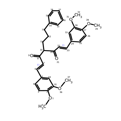 COc1ccc(/C=C/C(=O)C(CCCc2ccccc2)C(=O)/C=C/c2ccc(OC)c(OC)c2)cc1OC